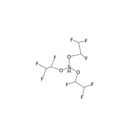 FC(F)C(F)O[SiH](OC(F)C(F)F)OC(F)C(F)F